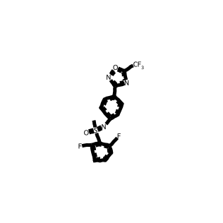 CS(=O)(=Nc1ccc(-c2noc(C(F)(F)F)n2)cc1)c1c(F)cccc1F